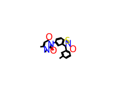 COc1ccc(C)cc1-c1nsc2ccc(-n3c(=O)cc(C)n(C)c3=O)cc12